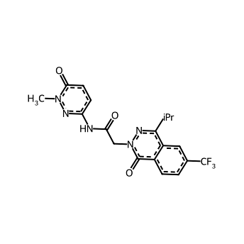 CC(C)c1nn(CC(=O)Nc2ccc(=O)n(C)n2)c(=O)c2ccc(C(F)(F)F)cc12